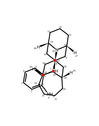 Nc1ccccc1N[C@@H]1C[C@H]2CCC[C@@H](C1)N2[C@H]1C[C@@H]2CCCC[C@@H](C2)C1